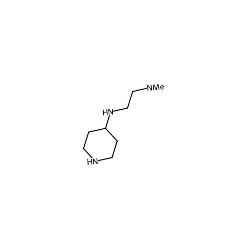 CNCCNC1CCNCC1